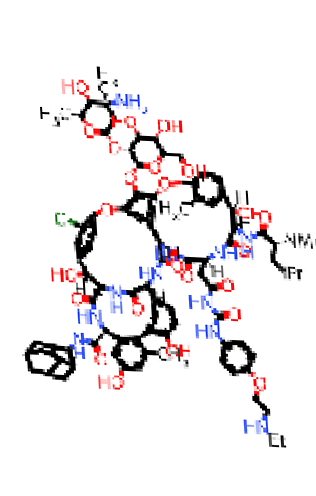 CCNCCOc1ccc(NC(=O)NC(=O)C[C@@H]2NC(=O)[C@H](NC(=O)[C@@H](CC(C)C)NC)[C@H](O)c3ccc(c(C)c3)Oc3cc4cc(c3O[C@@H]3O[C@H](CO)[C@@H](O)[C@H](O)[C@H]3O[C@H]3C[C@](C)(N)[C@H](O)[C@H](C)O3)Oc3ccc(cc3Cl)[C@@H](O)[C@@H]3NC(=O)[C@H](NC(=O)[C@@H]4NC2=O)c2ccc(O)c(c2)-c2c(C)cc(O)cc2[C@@H](C(=O)NC2C4CC5CC(C4)CC2C5)NC3=O)cc1